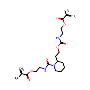 C=C(C)C(=O)OCCNC(=O)OCCC1CCCCN1C(=O)NCCOC(=O)C(=C)C